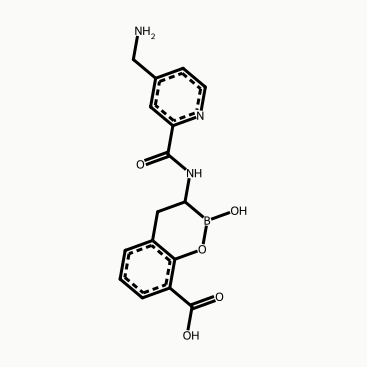 NCc1ccnc(C(=O)NC2Cc3cccc(C(=O)O)c3OB2O)c1